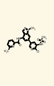 Cc1cccc(C(=O)Nc2cc(-c3cnc(Cl)c(NS(C)(=O)=O)c3)cc3c2cnn3C)n1